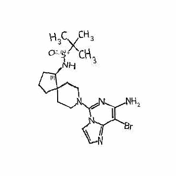 CC(C)(C)[S@@+]([O-])N[C@@H]1CCCC12CCN(c1nc(N)c(Br)c3nccn13)CC2